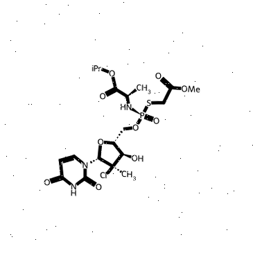 COC(=O)CS[P@@](=O)(N[C@H](C)C(=O)OC(C)C)OC[C@H]1O[C@@H](n2ccc(=O)[nH]c2=O)[C@](C)(Cl)[C@@H]1O